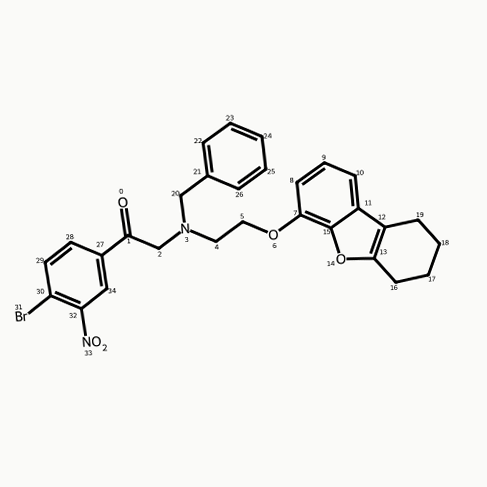 O=C(CN(CCOc1cccc2c3c(oc12)CCCC3)Cc1ccccc1)c1ccc(Br)c([N+](=O)[O-])c1